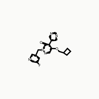 O=c1c(-c2cncnc2)c(OCC2CCC2)cnn1Cc1cncc(F)c1